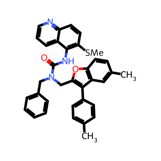 CSc1ccc2ncccc2c1NC(=O)N(Cc1ccccc1)Cc1oc2ccc(C)cc2c1-c1ccc(C)cc1